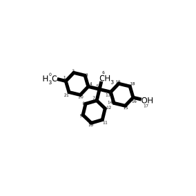 CC1CCC(C(C)(C2CCCCC2)C2CCC(O)CC2)CC1